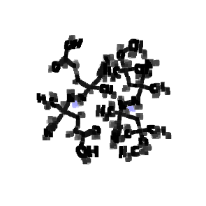 CC(C#N)(CCC(=O)O)/N=N/C(C)(C#N)CCC(=O)O.COC(C)(C)CC(C)(C#N)/N=N/C(C)(C#N)CC(C)(C)OC